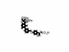 COCC1(COC)Oc2cc(C)c(-c3cccc(COc4ccc5c(c4)OC[C@H]5CC(=O)O)c3)c(C)c2C1=O